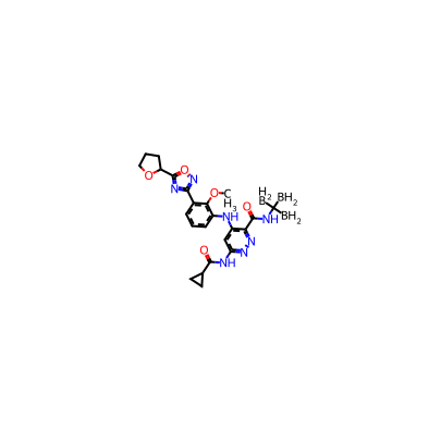 BC(B)(B)NC(=O)c1nnc(NC(=O)C2CC2)cc1Nc1cccc(-c2noc(C3CCCO3)n2)c1OC